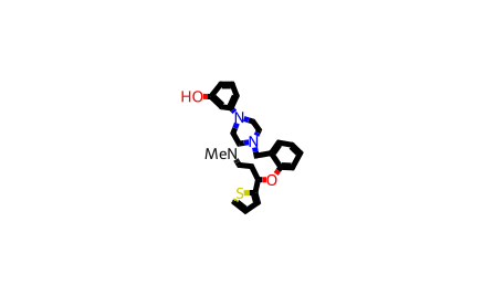 CNCCC(Oc1ccccc1CN1CCN(c2cccc(O)c2)CC1)c1cccs1